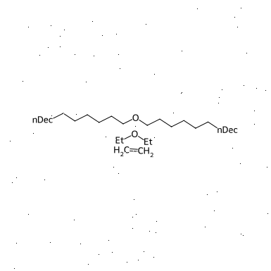 C=C.CCCCCCCCCCCCCCCCOCCCCCCCCCCCCCCCC.CCOCC